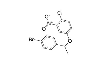 CC(Oc1ccc(Cl)c([N+](=O)[O-])c1)c1ccc(Br)cc1